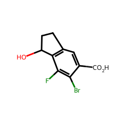 O=C(O)c1cc2c(c(F)c1Br)C(O)CC2